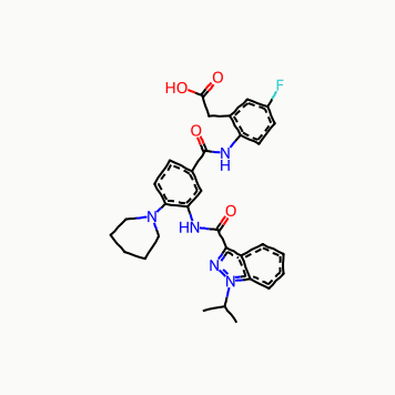 CC(C)n1nc(C(=O)Nc2cc(C(=O)Nc3ccc(F)cc3CC(=O)O)ccc2N2CCCCC2)c2ccccc21